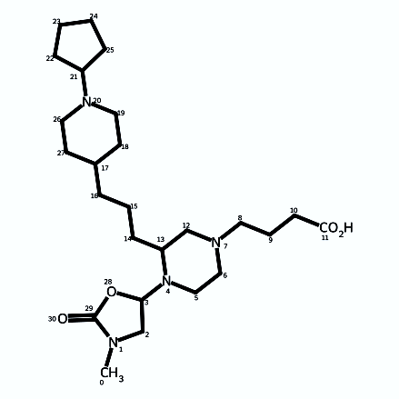 CN1CC(N2CCN(CCCC(=O)O)CC2CCCC2CCN(C3CCCC3)CC2)OC1=O